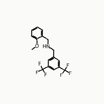 COc1ccccc1CNCc1cc(C(F)(F)F)cc(C(F)(F)F)c1